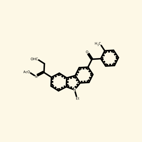 CCn1c2ccc(C(=O)c3ccccc3C)cc2c2cc(C(CC=O)=NOC(C)=O)ccc21